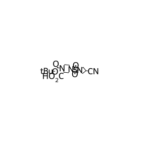 CC(C)(C)OC(=O)N1CCN(S(=O)(=O)N2CC(C#N)C2)CC1C(=O)O